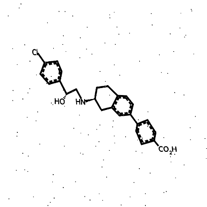 O=C(O)c1ccc(-c2ccc3c(c2)C[C@@H](NC[C@H](O)c2ccc(Cl)cc2)CC3)cc1